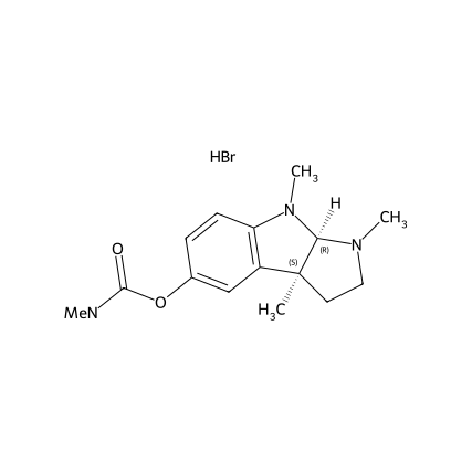 Br.CNC(=O)Oc1ccc2c(c1)[C@]1(C)CCN(C)[C@@H]1N2C